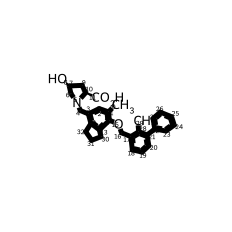 Cc1cc(CN2C[C@H](O)C[C@H]2C(=O)O)c2c(c1OCc1cccc(-c3ccccc3)c1C)CCC2